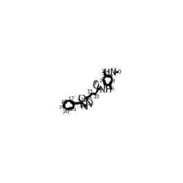 CNc1cc(C)c(NC(=O)CCc2nnc(-c3ccccc3)o2)cc1C